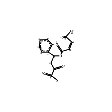 CC(=O)C(=O)CC(OC(=O)/C=C\C(=O)O)c1ccccc1